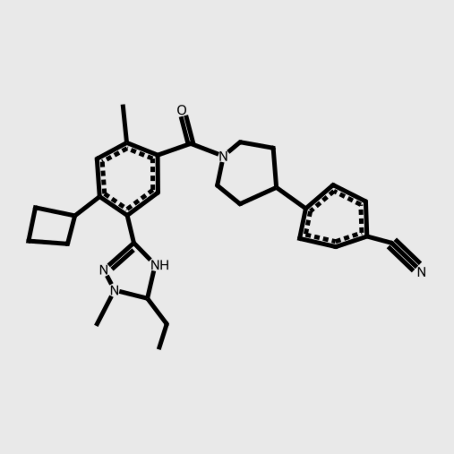 CCC1NC(c2cc(C(=O)N3CCC(c4ccc(C#N)cc4)CC3)c(C)cc2C2CCC2)=NN1C